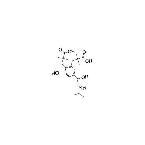 CC(C)NCC(O)c1ccc(CC(C)(C)C(=O)O)c(CC(C)(C)C(=O)O)c1.Cl